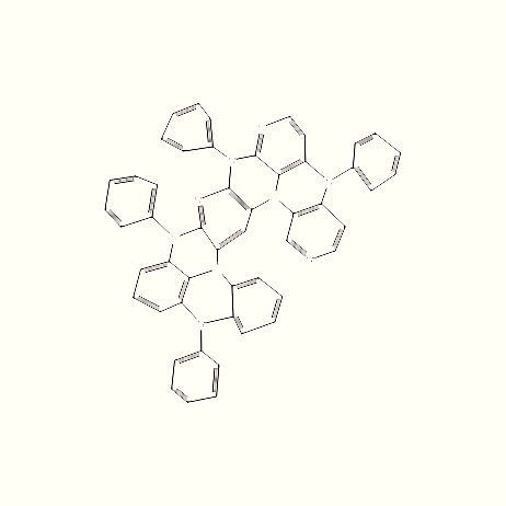 c1ccc(N2c3ccccc3B3c4cc5c(nc4N(c4ccccc4)c4cccc2c43)N(c2ccccc2)c2nccc3c2B5c2cnccc2N3c2ccccc2)cc1